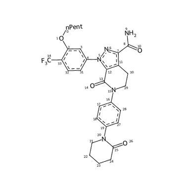 CCCCCOc1cc(-n2nc(C(N)=O)c3c2C(=O)N(c2ccc(N4CCCCC4=O)cc2)CC3)ccc1C(F)(F)F